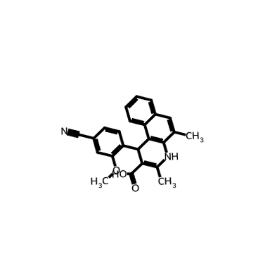 COc1cc(C#N)ccc1C1C(C(=O)O)=C(C)Nc2c(C)cc3ccccc3c21